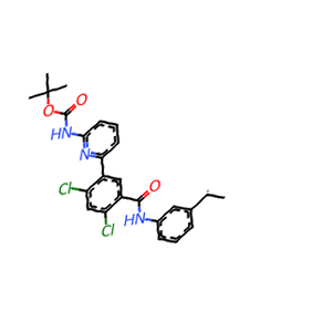 C[CH]c1cccc(NC(=O)c2cc(-c3cccc(NC(=O)OC(C)(C)C)n3)c(Cl)cc2Cl)c1